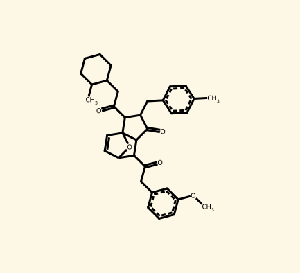 COc1cccc(CC(=O)C2C3C=CC4(O3)C(C(=O)CC3CCCCC3C)C(Cc3ccc(C)cc3)C(=O)C24)c1